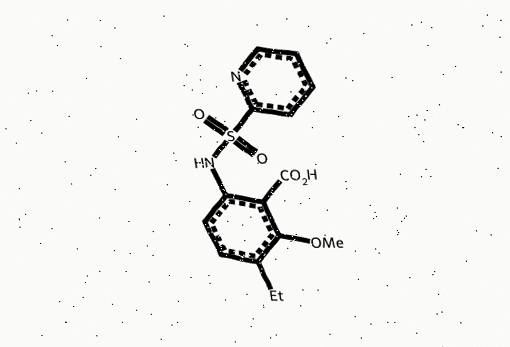 CCc1ccc(NS(=O)(=O)c2ccccn2)c(C(=O)O)c1OC